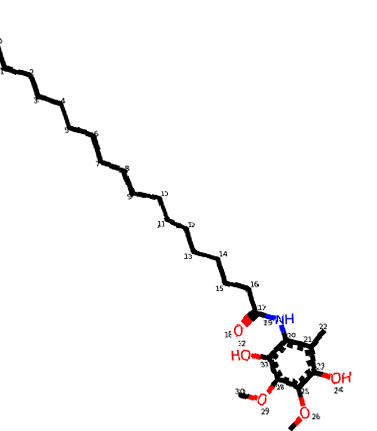 CCCCCCCCCCCCCCCCCC(=O)Nc1c(C)c(O)c(OC)c(OC)c1O